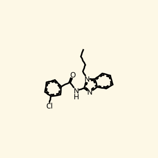 CCCCn1c(NC(=O)c2cccc(Cl)c2)nc2ccccc21